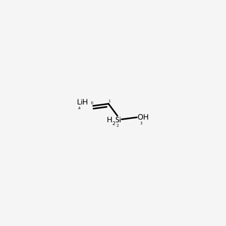 C=C[SiH2]O.[LiH]